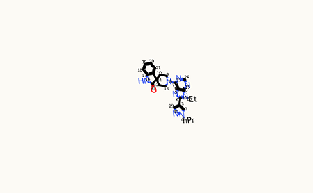 CCCn1cc(-c2nc3c(N4CCC5(CC4)C(=O)Nc4ccccc45)ncnc3n2CC)cn1